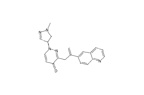 C=C(Cc1nn(C2C=NN(C)C2)ccc1=O)c1ccc2ncccc2c1